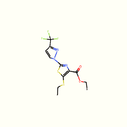 CCOC(=O)c1nc(-n2ccc(C(F)(F)F)n2)sc1SCC